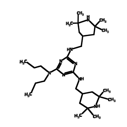 CCCN(CCC)c1nc(NCC2CC(C)(C)NC(C)(C)C2)nc(NCC2CC(C)(C)NC(C)(C)C2)n1